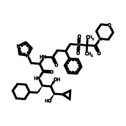 CC(C)(C(=O)N1CCOCC1)S(=O)(=O)CC(CC(=O)NC(Cn1ccnc1)C(=O)N[C@@H](CC1CCCCC1)[C@@H](O)[C@@H](O)C1CC1)c1ccccc1